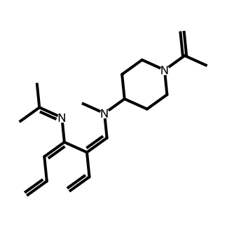 C=C/C=C(N=C(C)C)\C(C=C)=C/N(C)C1CCN(C(=C)C)CC1